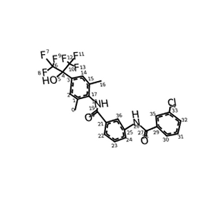 Cc1cc(C(O)(C(F)(F)F)C(F)(F)F)cc(C)c1NC(=O)c1cccc(NC(=O)c2cccc(Cl)c2)c1